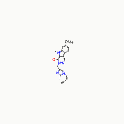 C#C/C=C\n1cc(Cn2ncc3c4ccc(OC)cc4n(C)c3c2=O)nc1C